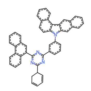 C1=CCC(c2nc(-c3cccc(-n4c5cc6ccccc6cc5c5c6ccccc6ccc54)c3)nc(-c3cc4ccccc4c4ccccc34)n2)C=C1